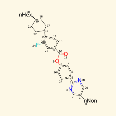 CCCCCCCCCc1cnc(-c2ccc(OC(=O)c3ccc([C@H]4CC[C@H](CCCCCC)CC4)c(F)c3)cc2)nc1